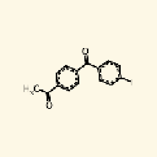 CC(=O)c1ccc(C(=O)c2ccc(I)cc2)cc1